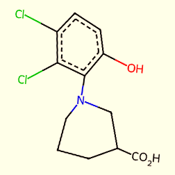 O=C(O)C1CCCN(c2c(O)ccc(Cl)c2Cl)C1